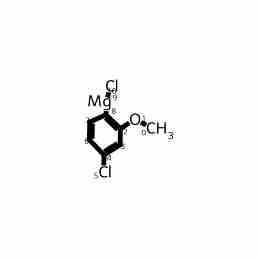 COc1cc(Cl)cc[c]1[Mg][Cl]